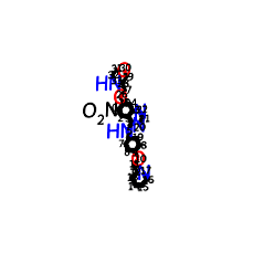 O=[N+]([O-])c1cc2c(Nc3ccc(OCc4ccccn4)cc3)ncnc2cc1OCC1COCCN1